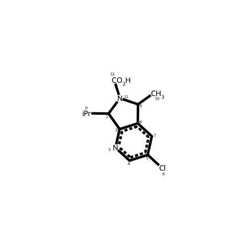 CC(C)C1c2ncc(Cl)cc2C(C)N1C(=O)O